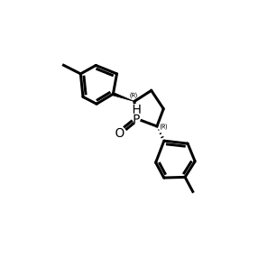 Cc1ccc([C@H]2CC[C@H](c3ccc(C)cc3)[PH]2=O)cc1